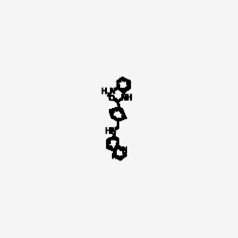 Nc1ccccc1NC(=O)c1ccc(CNc2ccc3nccnc3c2)cc1